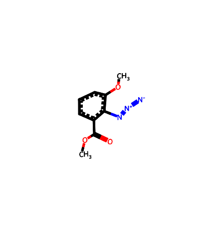 COC(=O)c1cccc(OC)c1N=[N+]=[N-]